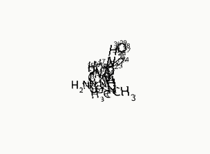 CN[C@@H](C)C(=O)N[C@H]1CN(C(N)=O)CC[C@H]2CC[C@@H](C(=O)N[C@H]3CC[C@@H]3c3ccccc3)N2C1=O